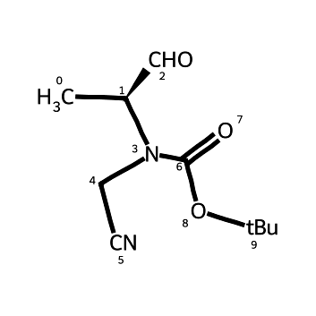 C[C@@H](C=O)N(CC#N)C(=O)OC(C)(C)C